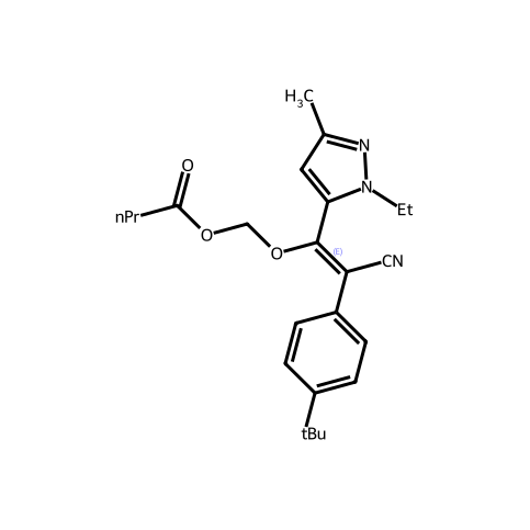 CCCC(=O)OCO/C(=C(/C#N)c1ccc(C(C)(C)C)cc1)c1cc(C)nn1CC